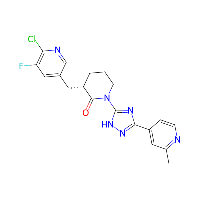 Cc1cc(-c2n[nH]c(N3CCC[C@@H](Cc4cnc(Cl)c(F)c4)C3=O)n2)ccn1